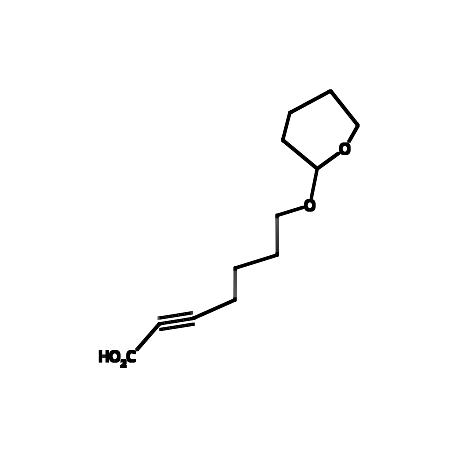 O=C(O)C#CCCCCOC1CCCCO1